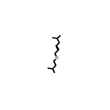 CC(C)CC=CCOCCC(C)C